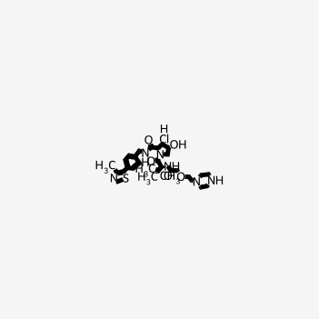 Cc1ncsc1-c1ccc(CNC(=O)C2CC(O)CN2C(=O)[C@@H](NC(=O)COCCN2CCNCC2)C(C)(C)C)cc1.Cl